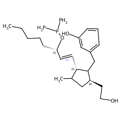 CCCCC[C@@H](/C=C/[C@H]1C(C)C[C@H](CCO)C1Cc1cccc(O)c1)OP(P)P